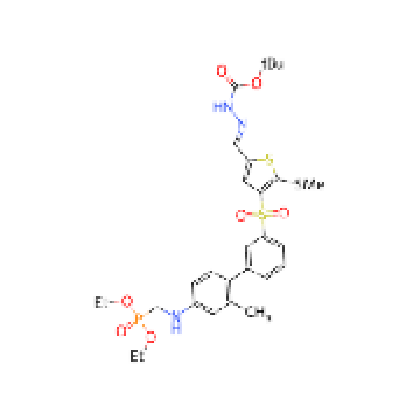 CCOP(=O)(CNc1ccc(-c2cccc(S(=O)(=O)c3cc(C=NNC(=O)OC(C)(C)C)sc3SC)c2)c(C)c1)OCC